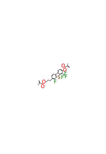 C=C(C)C(=O)OCCCc1ccc2c(sc3c(C(F)(F)F)c(OC(=O)C(=C)C)ccc32)c1F